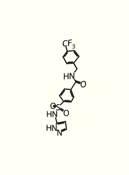 O=C(NCc1ccc(C(F)(F)F)cc1)c1ccc(S(=O)(=O)Nc2ccn[nH]2)cc1